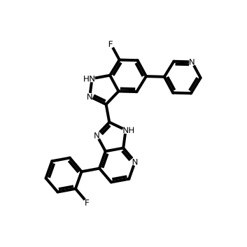 Fc1ccccc1-c1ccnc2[nH]c(-c3n[nH]c4c(F)cc(-c5cccnc5)cc34)nc12